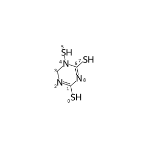 SC1=NCN(S)C(S)=N1